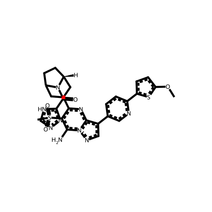 COc1ccc(-c2ccc(-c3cnn4c(N)c(S(C)(=O)=O)c(C5CC6CC[C@H](C5)N6C(=O)c5nnc[nH]5)nc34)cn2)s1